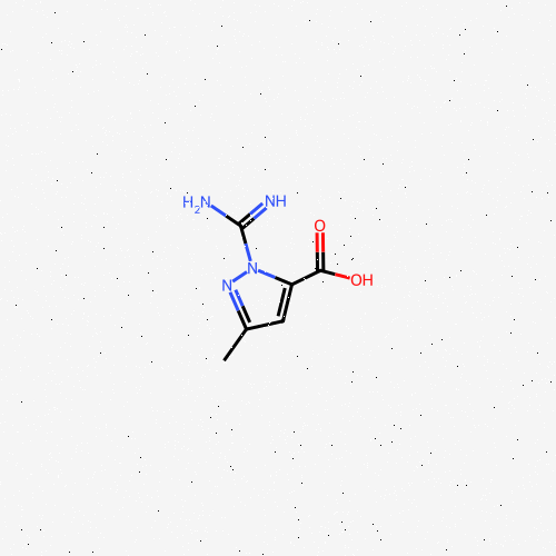 Cc1cc(C(=O)O)n(C(=N)N)n1